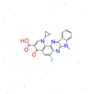 Cn1c2ccccc2c2nc3c(nc21)c(F)cc1c(=O)c(C(=O)O)cn(C2CC2)c13